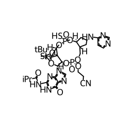 CC(C)C(=O)Nc1nc2c(ncn2[C@@H]2O[C@@H]3[C@@H]4OP(=O)(S)O[C@H]5C[C@H](Nc6ccncn6)C[C@@H]5COP(=O)(OCCC#N)O[C@@H]2C34O[Si](C)(C)C(C)(C)C)c(=O)[nH]1